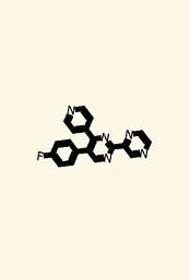 Fc1ccc(-c2cnc(-c3cnccn3)nc2-c2ccncc2)cc1